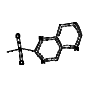 CS(=O)(=O)c1ncc2ncccc2n1